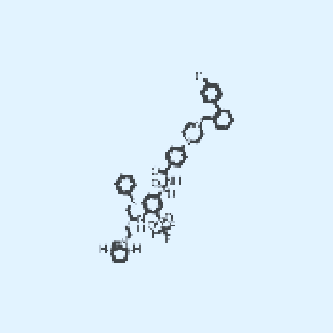 O=C(NS(=O)(=O)c1ccc(N[C@H](CCN2C[C@@H]3CC[C@H]2C3)CSc2ccccc2)c(S(=O)(=O)C(F)(F)F)c1)c1ccc(N2CCN(CC3=C(c4ccc(Cl)cc4)CCCC3)CC2)cc1